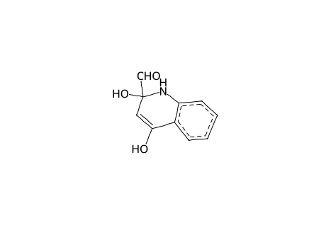 O=CC1(O)C=C(O)c2ccccc2N1